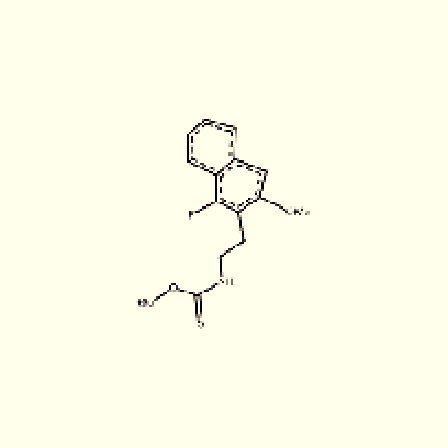 COc1cc2ccccc2c(F)c1CCNC(=O)OC(C)(C)C